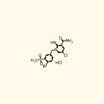 CS(=O)(=O)c1cc(Cn2cc(Cl)cc(C(N)=O)c2=N)ccc1Br.Cl